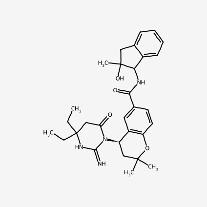 CCC1(CC)CC(=O)N([C@@H]2CC(C)(C)Oc3ccc(C(=O)NC4c5ccccc5CC4(C)O)cc32)C(=N)N1